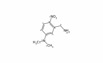 CN(C)c1ccc([N+](=O)[O-])c(CN)c1